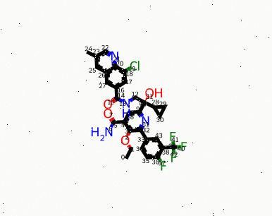 CCOc1c(C(N)=O)cc([C@@](O)(CNC(=O)c2cc(Cl)c3ncc(C)cc3c2)C2CC2)nc1-c1ccc(F)c(C(F)(F)F)c1